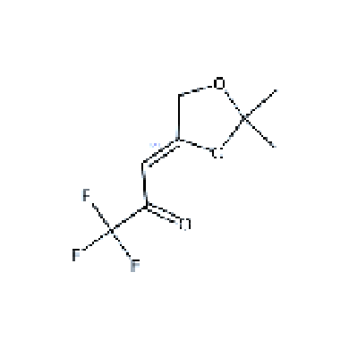 CC1(C)OC/C(=C/C(=O)C(F)(F)F)O1